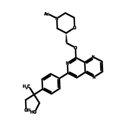 CC(=O)N1CCO[C@H](COc2nc(-c3ccc(C(C)(CO)CO)cc3)cc3nccnc23)C1